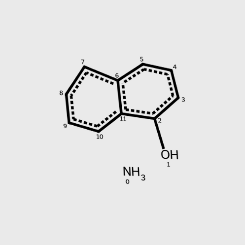 N.Oc1cccc2ccccc12